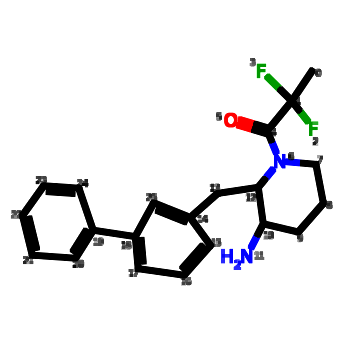 CC(F)(F)C(=O)N1CCCC(N)C1Cc1cccc(-c2ccccc2)c1